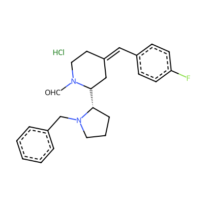 Cl.O=CN1CCC(=Cc2ccc(F)cc2)CC1[C@@H]1CCCN1Cc1ccccc1